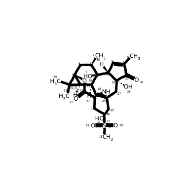 CC1=C[C@H]2[C@@]3(O)[C@H](C)C[C@]4(OC(=O)[C@@H](N)CCS(C)(=O)=O)[C@@H]([C@@H]3C=C(CO)C[C@]2(O)C1=O)C4(C)C